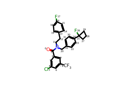 O=C(c1cc(Cl)cc(C(F)(F)F)c1)N(CCc1ccc(F)cc1)Cc1ccc(C2(F)CCC2)cc1